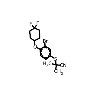 CC(C)(C#N)Sc1ccc(OC2CCC(F)(F)CC2)c(Br)c1